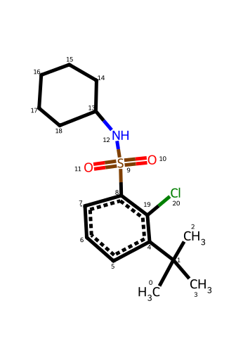 CC(C)(C)c1cc[c]c(S(=O)(=O)NC2CCCCC2)c1Cl